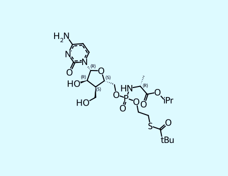 CC(C)OC(=O)[C@@H](C)NP(=O)(OCCSC(=O)C(C)(C)C)OC[C@H]1O[C@@H](n2ccc(N)nc2=O)[C@H](O)[C@@H]1CO